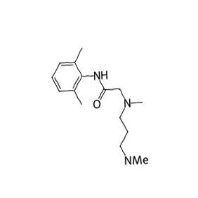 CNCCCN(C)CC(=O)Nc1c(C)cccc1C